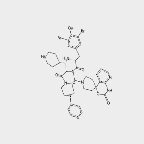 N[C@H](Cc1cc(Br)c(O)c(Br)c1)C(=O)N(C(=O)N1CCC2(CC1)OC(=O)Nc1ncccc12)[C@@H](CC1CCNCC1)C(=O)N1CCN(c2ccncc2)CC1